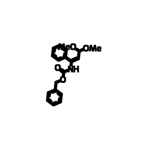 COC(C=C(NC(=O)OCc1ccccc1)c1ccccc1)OC